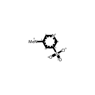 CNc1cncc(S(=O)(=O)Cl)c1